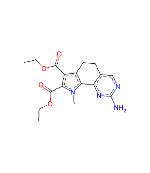 CCOC(=O)c1c2c(n(C)c1C(=O)OCC)-c1nc(N)ncc1CC2